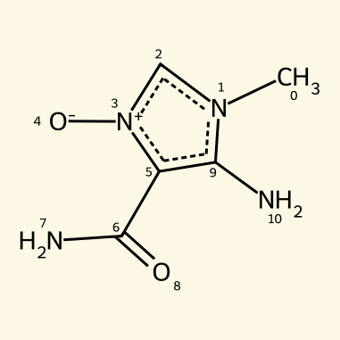 Cn1c[n+]([O-])c(C(N)=O)c1N